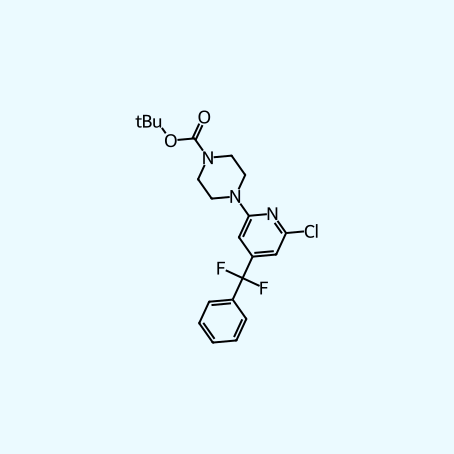 CC(C)(C)OC(=O)N1CCN(c2cc(C(F)(F)c3ccccc3)cc(Cl)n2)CC1